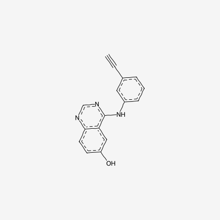 C#Cc1cccc(Nc2ncnc3ccc(O)cc23)c1